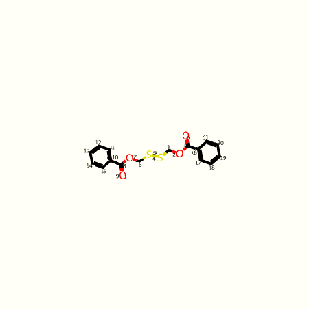 O=C(OCSSCOC(=O)c1ccccc1)c1ccccc1